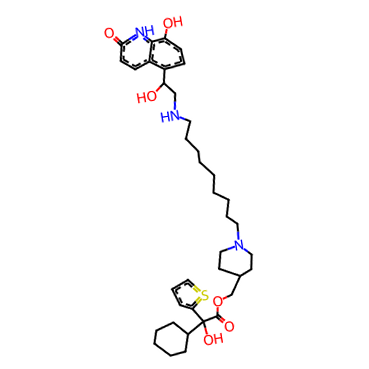 O=C(OCC1CCN(CCCCCCCCCNCC(O)c2ccc(O)c3[nH]c(=O)ccc23)CC1)C(O)(c1cccs1)C1CCCCC1